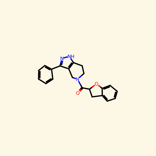 O=C(C1Cc2ccccc2O1)N1CCc2[nH]nc(-c3ccccc3)c2C1